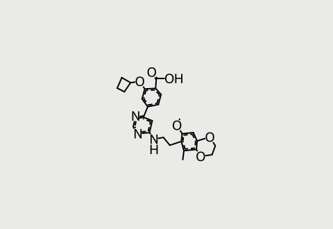 COc1cc2c(c(C)c1CCNc1cc(-c3ccc(C(=O)O)c(OC4CCC4)c3)ncn1)OCCO2